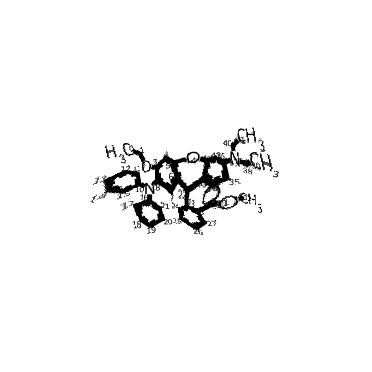 CCOc1cc2c(cc1N(c1ccccc1)c1ccccc1)C(c1ccccc1C(=O)OC)c1ccc(N(CC)CC)cc1O2